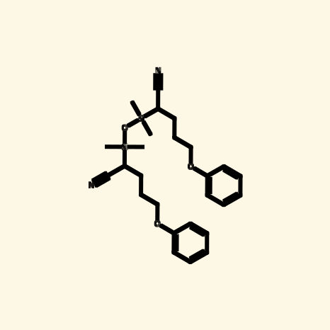 C[Si](C)(O[Si](C)(C)C(C#N)CCCOc1ccccc1)C(C#N)CCCOc1ccccc1